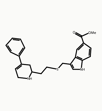 COC(=O)c1ccc2[nH]cc(CSCCC3CC(c4ccccc4)=CCN3)c2c1